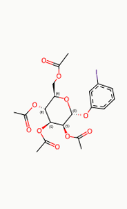 CC(=O)OC[C@H]1O[C@H](Oc2cccc(I)c2)[C@@H](OC(C)=O)[C@@H](OC(C)=O)[C@@H]1OC(C)=O